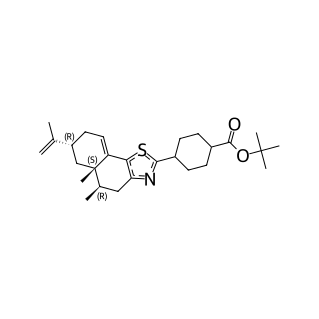 C=C(C)[C@@H]1CC=C2c3sc(C4CCC(C(=O)OC(C)(C)C)CC4)nc3C[C@@H](C)[C@]2(C)C1